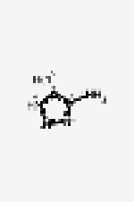 Cl.Nc1c[nH]nn1